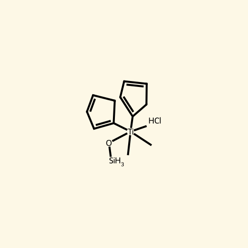 Cl.[CH3][Ti]([CH3])([CH3])([O][SiH3])([C]1=CC=CC1)[C]1=CC=CC1